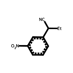 [CH2]CC(C#N)c1cccc([N+](=O)[O-])c1